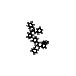 Br.Br.c1ccc(CN(Cc2ccccc2)Cc2ccccc2)cc1.c1ccc(CN(Cc2ccccc2)Cc2ccccc2)cc1